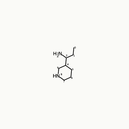 CCC(N)C1CCCNC1